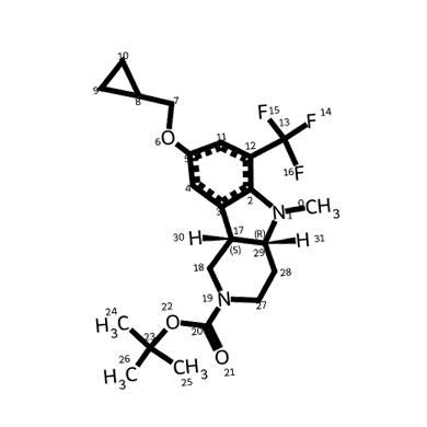 CN1c2c(cc(OCC3CC3)cc2C(F)(F)F)[C@H]2CN(C(=O)OC(C)(C)C)CC[C@H]21